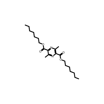 CCCCCCCOC(=O)c1nc(C)c(C(=O)OCCCCCCC)nc1C